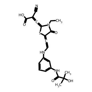 CCn1c(=C=C(C#N)C(=O)O)sc(=C=CNc2cccc(NC(=O)C(C)(C)O)c2)c1=O